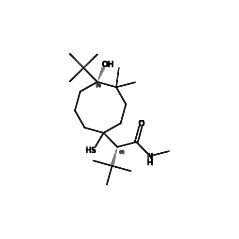 CNC(=O)[C@H](C(C)(C)C)C1(S)CCC[C@@](O)(C(C)(C)C)C(C)(C)CC1